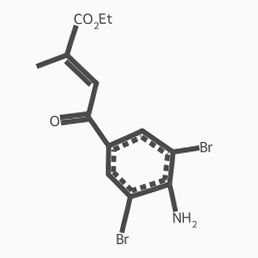 CCOC(=O)/C(C)=C/C(=O)c1cc(Br)c(N)c(Br)c1